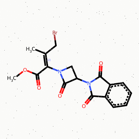 COC(=O)/C(=C(\C)CBr)N1CC(N2C(=O)c3ccccc3C2=O)C1=O